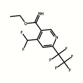 CCOC(=N)c1cnc(C(F)(F)C(F)(F)F)cc1C(F)F